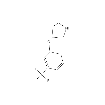 FC(F)(F)C1=CC(OC2CCNC2)CC=C1